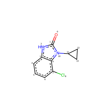 O=c1[nH]c2cccc(Cl)c2n1C1CC1